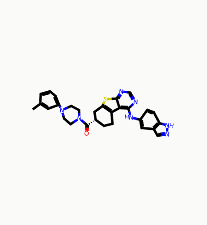 Cc1cccc(N2CCN(C(=O)[C@H]3CCc4c(sc5ncnc(Nc6ccc7[nH]ncc7c6)c45)C3)CC2)c1